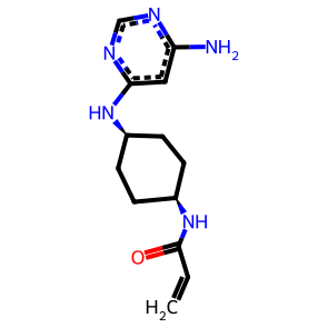 C=CC(=O)N[C@H]1CC[C@@H](Nc2cc(N)ncn2)CC1